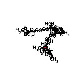 CC/C=C\C(=O)/C=C1\C[C@@]2(F)[C@@H](O)C[C@@]3(C)[C@@H](C[C@H]4OC(CCC)O[C@]43C(=O)COCNC(=O)CNC(=O)OCc3ccc(NC(=O)[C@H](CCCNC(N)=O)NC(=O)[C@@H](NC(=O)[C@@H](CCC(=O)O)NC(=O)CCOCCOCCOCCOCCNC(=O)CCC(=O)N4Cc5ccccc5/C(C)=C\c5ccccc54)C(C)C)cc3)[C@@H]2C[C@@H]1F